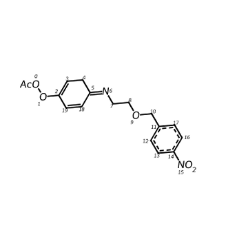 CC(=O)OOC1=CCC(=NCCOCc2ccc([N+](=O)[O-])cc2)C=C1